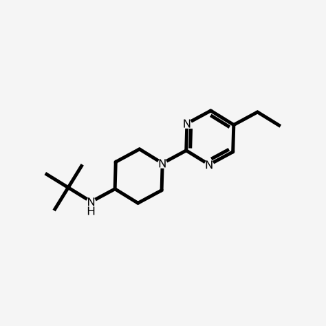 CCc1cnc(N2CCC(NC(C)(C)C)CC2)nc1